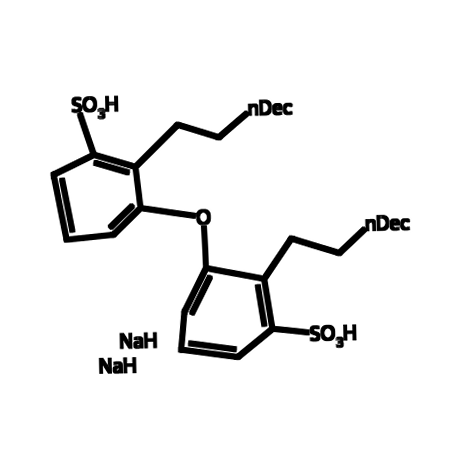 CCCCCCCCCCCCc1c(Oc2cccc(S(=O)(=O)O)c2CCCCCCCCCCCC)cccc1S(=O)(=O)O.[NaH].[NaH]